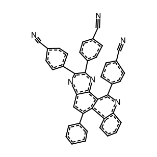 N#Cc1ccc(-c2nc3cc(-c4ccccc4)c4c5ccccc5nc(-c5ccc(C#N)cc5)c4c3nc2-c2ccc(C#N)cc2)cc1